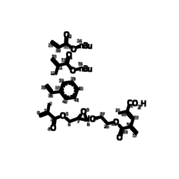 C=C(C)C(=O)OCC1CO1.C=C(C)C(=O)OCCCC.C=C(C=C(C)C(=O)O)C(=O)OCCO.C=CC(=O)OCCCC.C=Cc1ccccc1